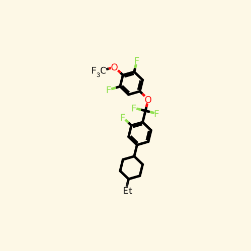 CCC1CCC(c2ccc(C(F)(F)Oc3cc(F)c(OC(F)(F)F)c(F)c3)c(F)c2)CC1